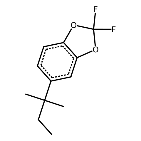 CCC(C)(C)c1ccc2c(c1)OC(F)(F)O2